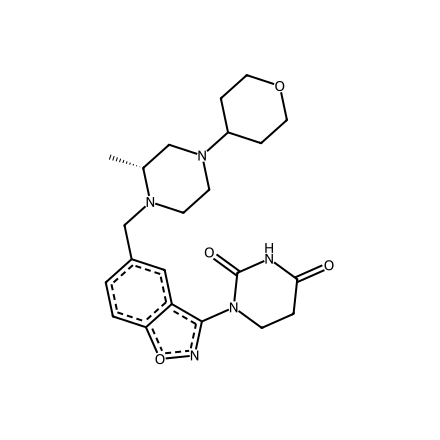 C[C@@H]1CN(C2CCOCC2)CCN1Cc1ccc2onc(N3CCC(=O)NC3=O)c2c1